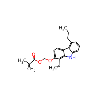 C=Cc1c(OCOC(=O)C(=C)C)ccc2c1[nH]c1cccc(CCC)c12